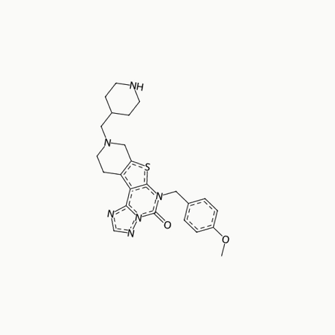 COc1ccc(Cn2c(=O)n3ncnc3c3c4c(sc32)CN(CC2CCNCC2)CC4)cc1